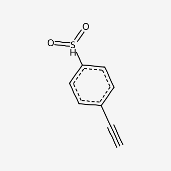 C#Cc1ccc([SH](=O)=O)cc1